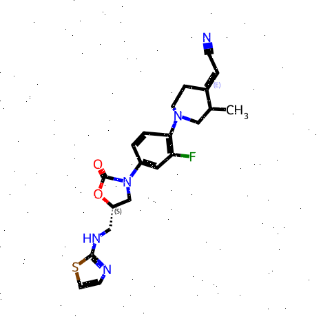 CC1CN(c2ccc(N3C[C@H](CNc4nccs4)OC3=O)cc2F)CC/C1=C\C#N